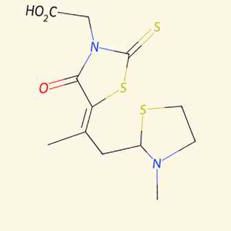 CC(CC1SCCN1C)=C1SC(=S)N(CC(=O)O)C1=O